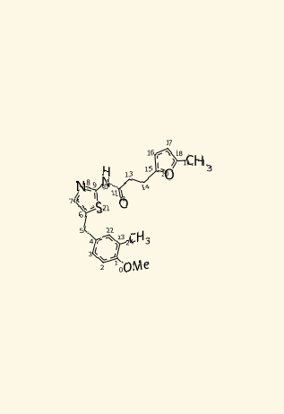 COc1ccc(Cc2cnc(NC(=O)CCc3ccc(C)o3)s2)cc1C